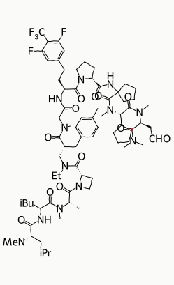 CCC(C)C(NC(=O)[C@H](CC(C)C)NC)C(=O)N(C)[C@@H](C)C(=O)N1CC[C@H]1C(=O)N(CC)C[C@@H](Cc1ccc(C)cc1)C(=O)N(C)CC(=O)N[C@@H](CCc1cc(F)c(C(F)(F)F)c(F)c1)C(=O)N1CCC[C@H]1C(=O)NC1(C(=O)N(C)[C@H](C(=O)N(C)[C@@H](CC=O)C(=O)N(C)C)C2CCCC2)CCCC1